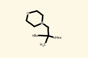 CCCCCCC(C)(CCCC)CN1CCOCC1